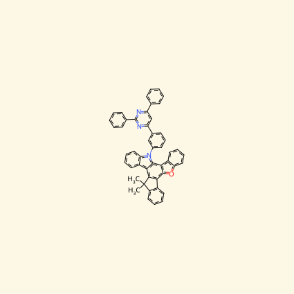 CC1(C)c2ccccc2-c2c1c1c3ccccc3n(-c3cccc(-c4cc(-c5ccccc5)nc(-c5ccccc5)n4)c3)c1c1c2oc2ccccc21